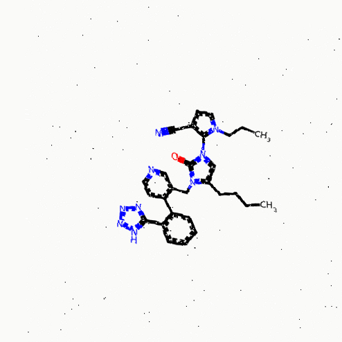 CCCCc1cn(-c2c(C#N)ccn2CCC)c(=O)n1Cc1cnccc1-c1ccccc1-c1nnn[nH]1